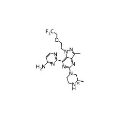 Cc1nn(CCOCC(F)(F)F)c2c(-c3nccc(N)n3)nc(N3CCN[C@H](C)C3)nc12